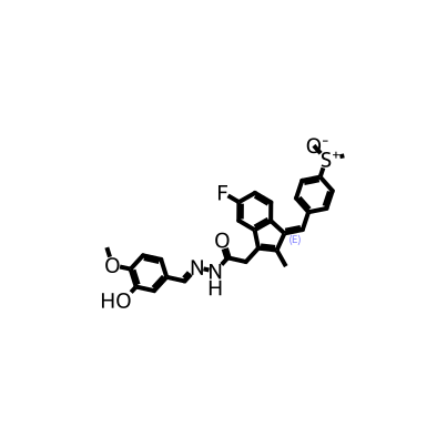 COc1ccc(C=NNC(=O)CC2=C(C)/C(=C/c3ccc([S+](C)[O-])cc3)c3ccc(F)cc32)cc1O